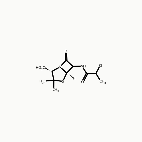 CC(Cl)C(=O)NC1C(=O)N2[C@@H]1SC(C)(C)[C@@H]2C(=O)O